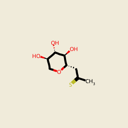 CC(=S)C[C@@H]1OC[C@@H](O)[C@H](O)[C@H]1O